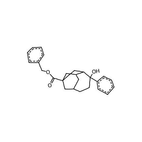 O=C(OCc1ccccc1)C12CC3CCC(O)(c4ccccc4)C(C1)C(C3)C2